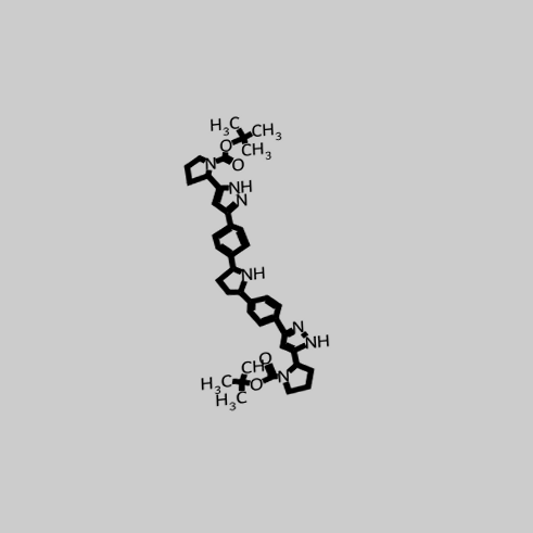 CC(C)(C)OC(=O)N1CCCC1c1cc(-c2ccc(C3CCC(c4ccc(-c5cc(C6CCCN6C(=O)OC(C)(C)C)[nH]n5)cc4)N3)cc2)n[nH]1